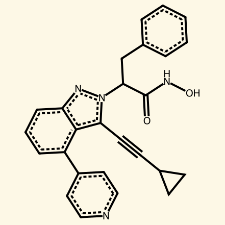 O=C(NO)C(Cc1ccccc1)n1nc2cccc(-c3ccncc3)c2c1C#CC1CC1